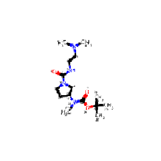 CN(C)CCNC(=O)N1CC[C@H](N(C)C(=O)OC(C)(C)C)C1